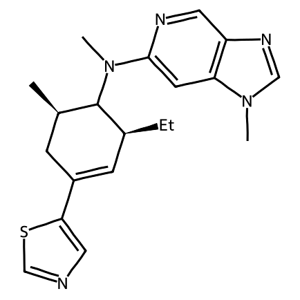 CC[C@H]1C=C(c2cncs2)C[C@@H](C)C1N(C)c1cc2c(cn1)ncn2C